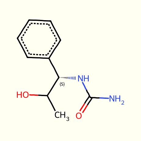 CC(O)[C@@H](NC(N)=O)c1ccccc1